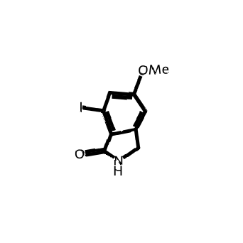 COc1cc(I)c2c(c1)CNC2=O